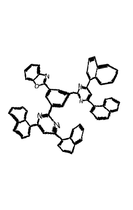 c1ccc2c(-c3cc(-c4cccc5ccccc45)nc(-c4cc(-c5nc(-c6cccc7ccccc67)cc(-c6cccc7ccccc67)n5)cc(-c5nc6ccccc6o5)c4)n3)cccc2c1